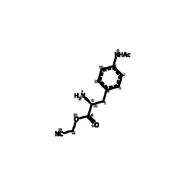 CC(=O)Nc1ccc(C[C@H](N)C(=O)OCC#N)cc1